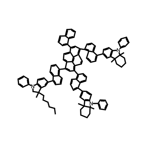 CCCCCCC1(C)CN(c2ccccc2)c2ccc(-c3cccc4c(-c5cc(-c6cccc7c(-c8ccc9c(c8)C8(C)CCCCC8(C)N9c8ccccc8)cccc67)c6ccc7c(-c8cccc9c(-c%10ccc%11c(c%10)C%10(C)CCCCC%10(C)N%11c%10ccccc%10)cccc89)cc(-c8cccc9ccccc89)c8ccc5c6c87)cccc34)cc21